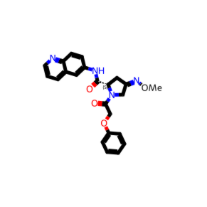 CON=C1C[C@@H](C(=O)Nc2ccc3ncccc3c2)N(C(=O)COc2ccccc2)C1